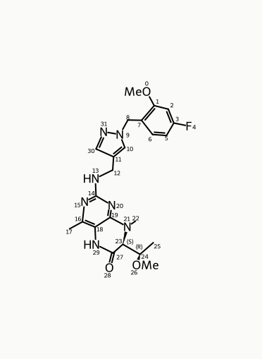 COc1cc(F)ccc1Cn1cc(CNc2nc(C)c3c(n2)N(C)[C@@H]([C@@H](C)OC)C(=O)N3)cn1